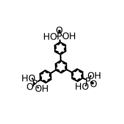 O=P(O)(O)c1ccc(-c2cc(-c3ccc(P(=O)(O)O)cc3)cc(-c3ccc(P(=O)(O)O)cc3)c2)cc1